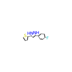 Fc1ccc(C2=CC(c3cccs3)NN2)cc1